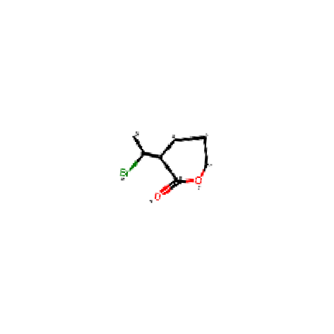 CC(Br)C1CCCOC1=O